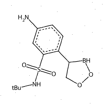 CC(C)(C)NS(=O)(=O)c1cc(N)ccc1C1BOOC1